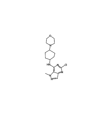 Cn1ncc2nc(Cl)nc(NC3CCC(N4CCOCC4)CC3)c21